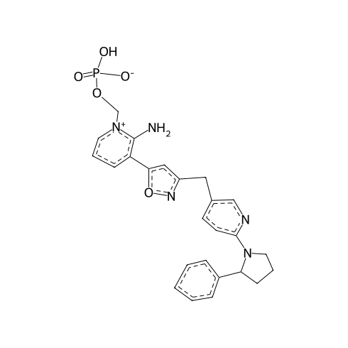 Nc1c(-c2cc(Cc3ccc(N4CCCC4c4ccccc4)nc3)no2)ccc[n+]1COP(=O)([O-])O